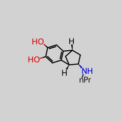 CCCN[C@@H]1C[C@@H]2C[C@H]1c1cc(O)c(O)cc12